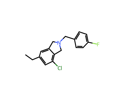 CCc1cc(Cl)c2c(c1)CN(Cc1ccc(F)cc1)C2